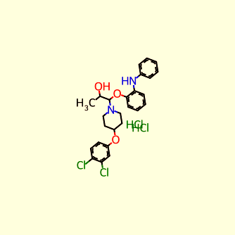 CC(O)C(Oc1ccccc1Nc1ccccc1)N1CCC(Oc2ccc(Cl)c(Cl)c2)CC1.Cl.Cl